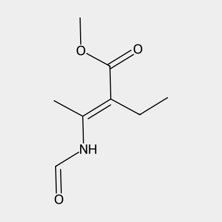 CCC(C(=O)OC)=C(C)NC=O